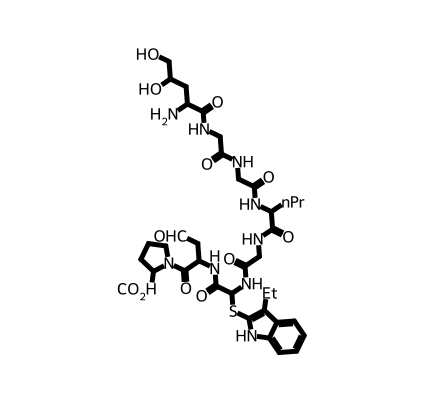 CCCC(NC(=O)CNC(=O)CNC(=O)C(N)CC(O)CO)C(=O)NCC(=O)NC(Sc1[nH]c2ccccc2c1CC)C(=O)NC(CC=O)C(=O)N1CCCC1C(=O)O